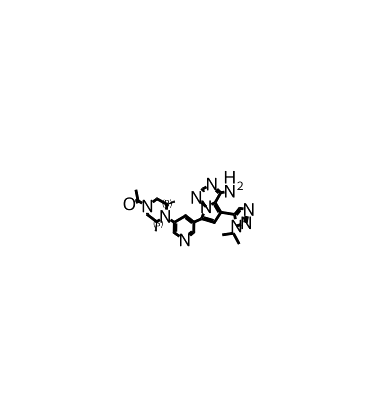 CC(=O)N1C[C@@H](C)N(c2cncc(-c3cc(-c4cnnn4C(C)C)c4c(N)ncnn34)c2)[C@@H](C)C1